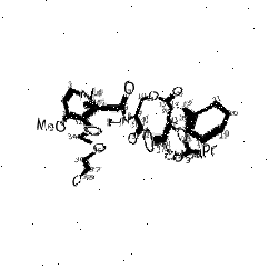 COc1ccnc(C(=O)N[C@H]2COC(=O)[C@H](Cc3ccccc3)[C@@H](OC(=O)C(C)C)[C@H](C)OC2=O)c1OCOCCCl